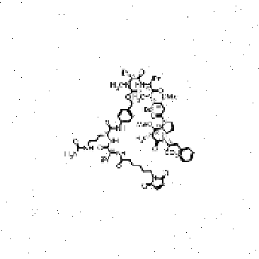 CC[C@@H](C)[C@@H]([C@@H](CC(=O)N1CCC[C@H]1[C@H](OC)[C@@H](C)C(=O)N[C@@H](Cc1ccccc1)C(=O)O)OC)N(C)C(=O)[C@@H](NC(=O)[C@H](C(C)C)N(C)C(=O)OCc1ccc(NC(=O)[C@H](CCCNC(N)=O)NC(=O)[C@@H](NC(=O)CCCCCN2C(=O)C=CC2=O)C(C)C)cc1)C(C)C